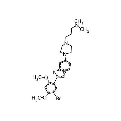 COc1cc(OC)c(-c2cn3ccc(N4CCN(CCCN(C)C)CC4)cc3n2)cc1Br